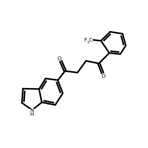 O=C(CCC(=O)c1ccccc1C(F)(F)F)c1ccc2[nH]ccc2c1